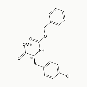 COC(=O)[C@H](Cc1ccc(Cl)cc1)NC(=O)OCc1ccccc1